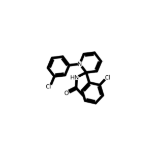 CC(=O)NC1(c2ccccc2Cl)C=[C]C=CN1c1cccc(Cl)c1